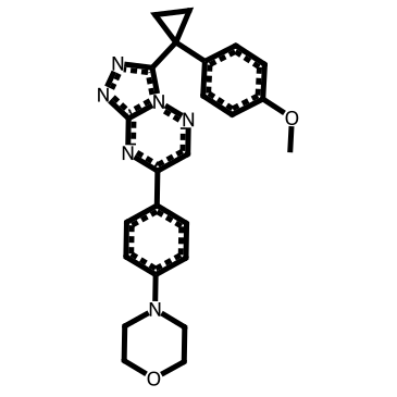 COc1ccc(C2(c3nnc4nc(-c5ccc(N6CCOCC6)cc5)cnn34)CC2)cc1